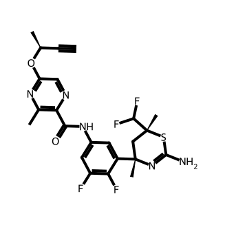 C#C[C@H](C)Oc1cnc(C(=O)Nc2cc(F)c(F)c([C@]3(C)C[C@](C)(C(F)F)SC(N)=N3)c2)c(C)n1